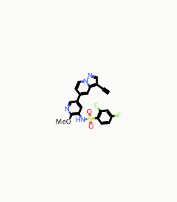 C#Cc1cnn2ccc(-c3cnc(OC)c(NS(=O)(=O)c4ccc(F)cc4F)c3)cc12